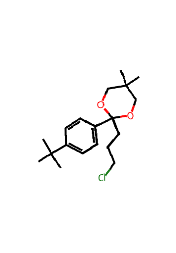 CC1(C)COC(CCCCl)(c2ccc(C(C)(C)C)cc2)OC1